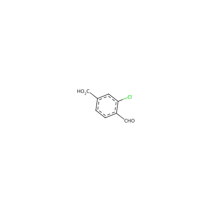 O=Cc1ccc(C(=O)O)cc1Cl